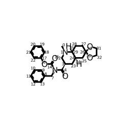 CN1C[C@H](C(=O)N(Cc2ccccc2)C(=O)Oc2ccccc2)C[C@@H]2CC3(CC[C@H]21)OCCO3